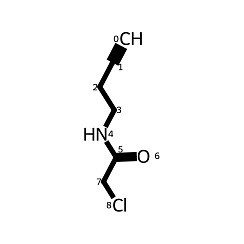 C#CCCNC(=O)CCl